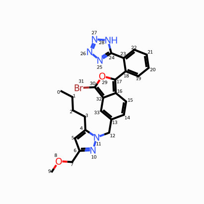 CCCCc1cc(COC)nn1Cc1ccc2c(-c3ccccc3-c3nnn[nH]3)oc(Br)c2c1